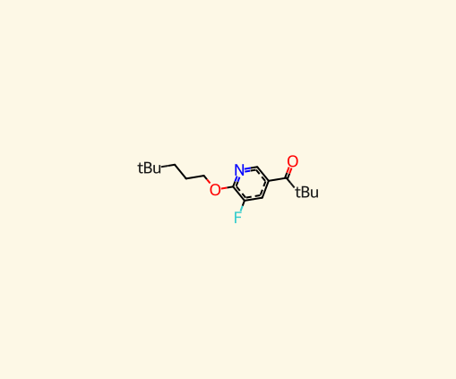 CC(C)(C)CCCOc1ncc(C(=O)C(C)(C)C)cc1F